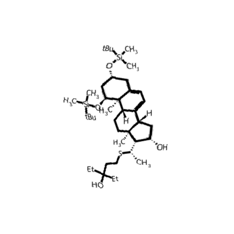 CCC(O)(CC)CCS[C@@H](C)[C@H]1[C@@H](O)C[C@H]2C3=CC=C4C[C@@H](O[Si](C)(C)C(C)(C)C)C[C@H](O[Si](C)(C)C(C)(C)C)[C@]4(C)[C@H]3CC[C@]12C